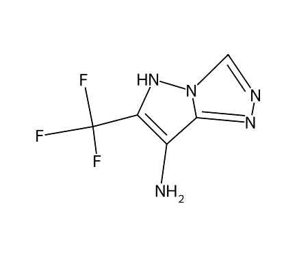 Nc1c(C(F)(F)F)[nH]n2cnnc12